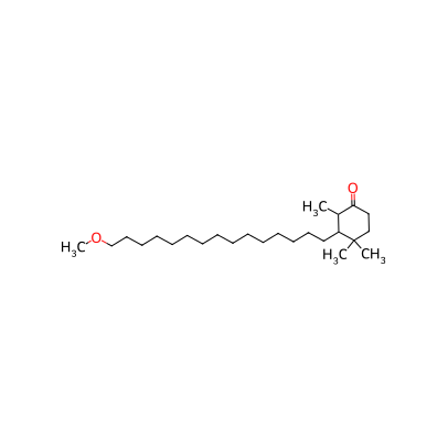 COCCCCCCCCCCCCCCCC1C(C)C(=O)CCC1(C)C